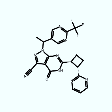 CC(c1cnc(C(F)(F)F)nc1)n1nc(C#N)c2c(=O)[nH]c([C@H]3CC[C@@H]3c3ncccn3)nc21